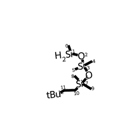 C[SiH2]O[Si](C)(C)O[Si](C)(C)CCC(C)(C)C